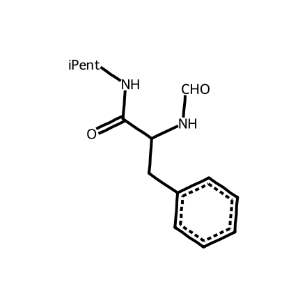 CCCC(C)NC(=O)C(Cc1ccccc1)NC=O